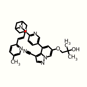 Cc1ccc(/C=C/CN2C3CC2CN(c2ccc(-c4cc(OCC(C)(C)O)cn5ncc(C#N)c45)cn2)C3)nc1